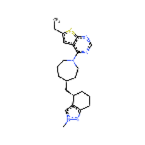 Cn1cc2c(n1)CCC[C@@H]2C[C@H]1CCCN(c2ncnc3sc(CC(F)(F)F)cc23)CC1